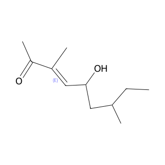 CCC(C)CC(O)/C=C(\C)C(C)=O